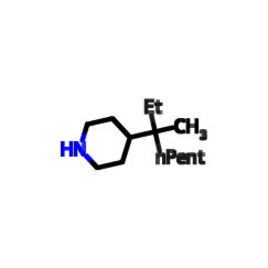 CCCCCC(C)(CC)C1CCNCC1